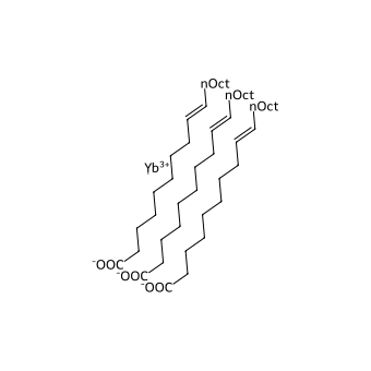 CCCCCCCCC=CCCCCCCCC(=O)[O-].CCCCCCCCC=CCCCCCCCC(=O)[O-].CCCCCCCCC=CCCCCCCCC(=O)[O-].[Yb+3]